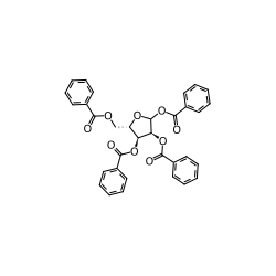 O=C(OC[C@@H]1OC(OC(=O)c2ccccc2)[C@@H](OC(=O)c2ccccc2)[C@H]1OC(=O)c1ccccc1)c1ccccc1